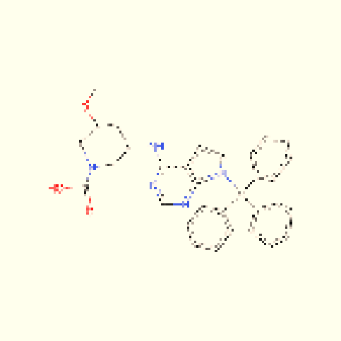 COC1CC(Nc2ncnc3c2ccn3C(c2ccccc2)(c2ccccc2)c2ccccc2)CN(C(=O)O)C1